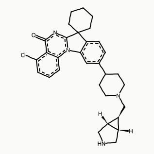 O=c1nc2n(c3cccc(Cl)c13)-c1cc(C3CCN(C[C@H]4[C@@H]5CNC[C@@H]54)CC3)ccc1C21CCCCC1